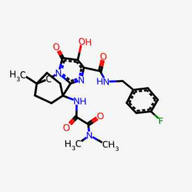 CN(C)C(=O)C(=O)NC12CCC(C)(CC1)Cn1c2nc(C(=O)NCc2ccc(F)cc2)c(O)c1=O